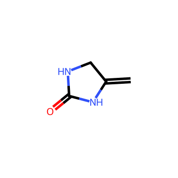 C=C1CNC(=O)N1